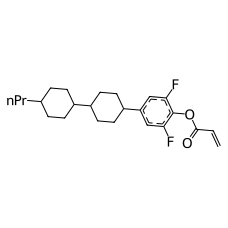 C=CC(=O)Oc1c(F)cc(C2CCC(C3CCC(CCC)CC3)CC2)cc1F